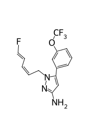 Nc1cc(-c2cccc(OC(F)(F)F)c2)n(C/C=C\C=C\F)n1